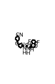 N#Cc1ccc(Oc2ccc(NC(=S)N[C@@H]3[C@@H]4COc5c(F)ccc(F)c5[C@@H]43)nc2)cc1